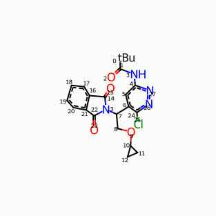 CC(C)(C)C(=O)Nc1cc(C(COC2CC2)N2C(=O)c3ccccc3C2=O)c(Cl)nn1